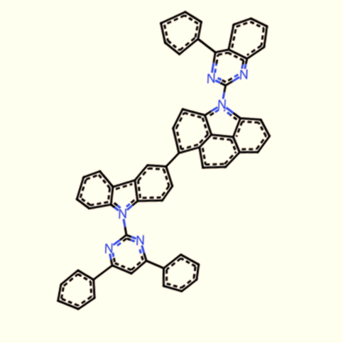 c1ccc(-c2cc(-c3ccccc3)nc(-n3c4ccccc4c4cc(-c5ccc6c7c5ccc5cccc(c57)n6-c5nc(-c6ccccc6)c6ccccc6n5)ccc43)n2)cc1